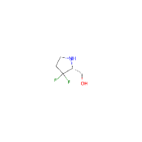 OC[C@H]1NCCC1(F)F